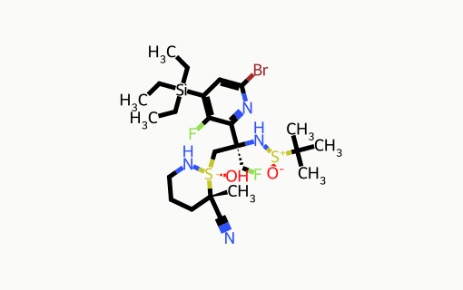 CC[Si](CC)(CC)c1cc(Br)nc([C@](CF)(C[S@]2(O)NCCC[C@@]2(C)C#N)N[S@+]([O-])C(C)(C)C)c1F